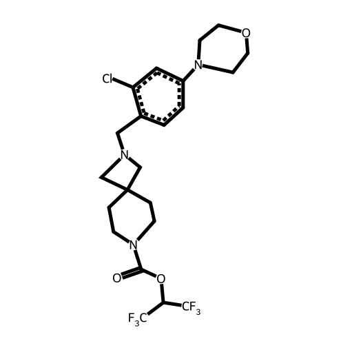 O=C(OC(C(F)(F)F)C(F)(F)F)N1CCC2(CC1)CN(Cc1ccc(N3CCOCC3)cc1Cl)C2